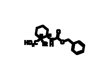 CC[C@@]1(C(=O)O)CCCC[C@@H]1NC(=O)OCc1ccccc1